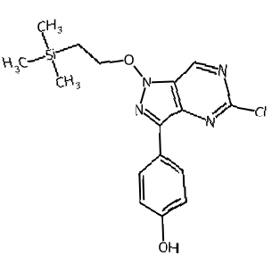 C[Si](C)(C)CCOn1nc(-c2ccc(O)cc2)c2nc(Cl)ncc21